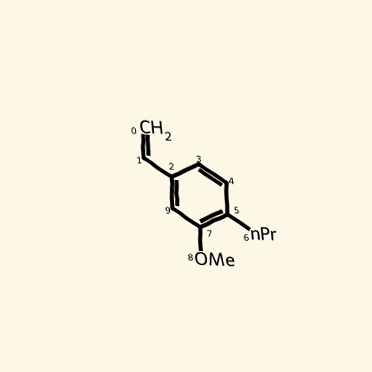 C=Cc1ccc(CCC)c(OC)c1